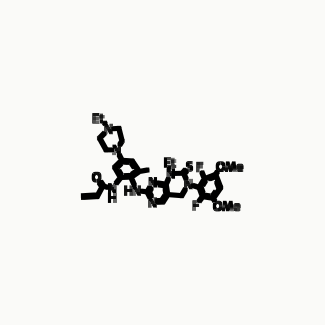 C=CC(=O)Nc1cc(N2CCN(CC)CC2)cc(C)c1Nc1ncc2c(n1)N(CC)C(=S)N(c1c(F)c(OC)cc(OC)c1F)C2